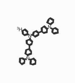 [3H]c1ccc(N(c2ccc(-c3ccc(N(c4ccccc4)c4ccccc4)cc3)cc2)c2ccc(-c3ccc(N(c4ccccc4)c4ccccc4)cc3)cc2)cc1